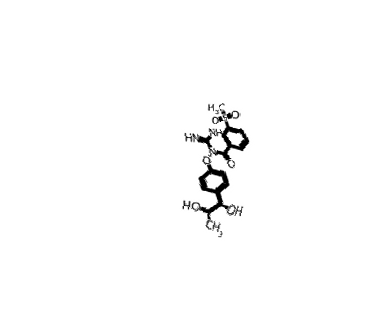 C[C@@H](O)[C@H](O)c1ccc(ON(C(=N)N)C(=O)c2cccc(S(C)(=O)=O)c2)cc1